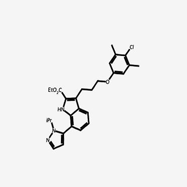 CCOC(=O)c1[nH]c2c(-c3ccnn3C(C)C)cccc2c1CCCOc1cc(C)c(Cl)c(C)c1